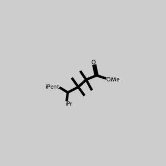 CCCC(C)C(C(C)C)C(C)(C)C(C)(C)C(=O)OC